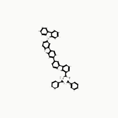 C1=CC(C2=NC(c3ccccc3)=NC(c3cccc4c3oc3ccc(-c5ccc6c(c5)sc5ccc(-n7c8ccccc8c8ccccc87)cc56)cc34)N2)=CCC1